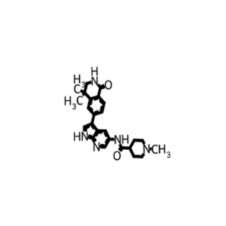 CN1CCC(C(=O)Nc2cnc3[nH]cc(-c4ccc5c(c4)C(C)(C)CNC5=O)c3c2)CC1